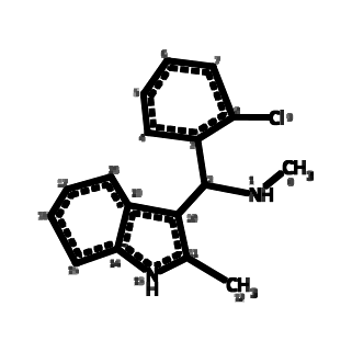 CNC(c1ccccc1Cl)c1c(C)[nH]c2ccccc12